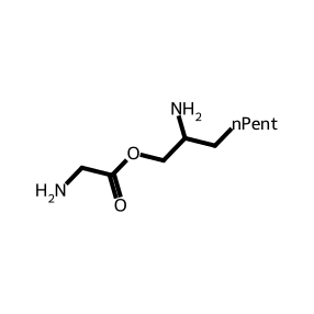 CCCCCCC(N)COC(=O)CN